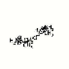 CC(C)(CCCCOCCCCC(C)(C)S(N)(=O)=O)CCS(N)(=O)=O